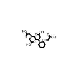 O=C(O)CN[C@@H]1CCCC[C@H]1N(CCN(CC(=O)O)CC(=O)O)CC(=O)O